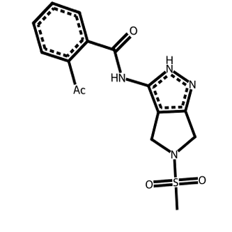 CC(=O)c1ccccc1C(=O)Nc1[nH]nc2c1CN(S(C)(=O)=O)C2